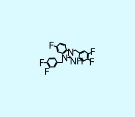 N=c1n(Cc2ccc(F)c(F)c2)c2ccc(F)cc2n1Cc1ccc(F)c(F)c1